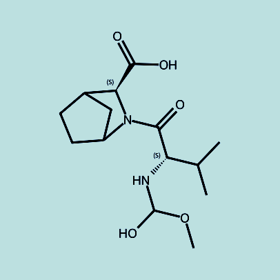 COC(O)N[C@H](C(=O)N1C2CCC(C2)[C@H]1C(=O)O)C(C)C